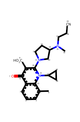 Cc1cccc2c(=O)c(C(=O)O)c(N3CCC(N(C)CCC#N)C3)n(C3CC3)c12